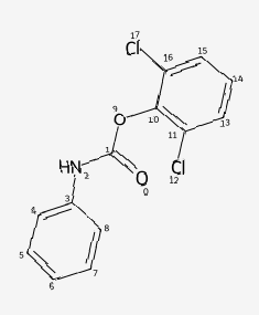 O=C(Nc1ccccc1)Oc1c(Cl)cccc1Cl